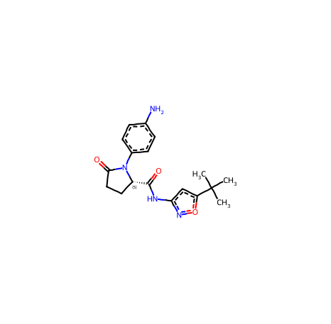 CC(C)(C)c1cc(NC(=O)[C@@H]2CCC(=O)N2c2ccc(N)cc2)no1